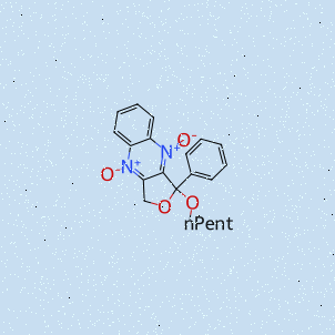 CCCCCOC1(c2ccccc2)OCc2c1[n+]([O-])c1ccccc1[n+]2[O-]